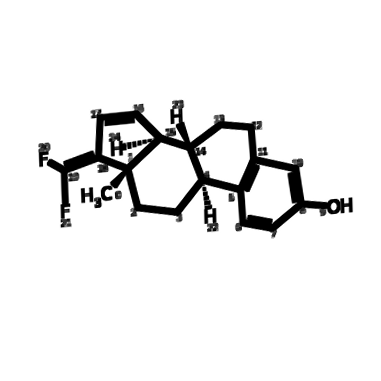 C[C@]12CC[C@@H]3c4ccc(O)cc4CC[C@H]3[C@@H]1C=CC2=C(F)F